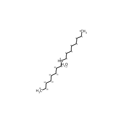 CCCCCCCCNCCCCCCCC.O